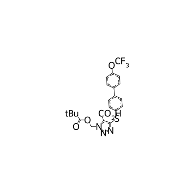 CC(C)(C)C(=O)OCn1nnc(Sc2ccc(-c3ccc(OC(F)(F)F)cc3)cc2)c1C(=O)O